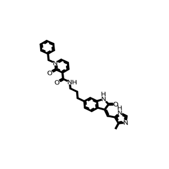 Cc1nc[nH]c1C=C1C(=O)Nc2cc(CCCNC(=O)c3cccn(Cc4ccccc4)c3=O)ccc21